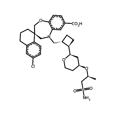 C[C@@H](CS(N)(=O)=O)O[C@H]1CCO[C@@H]([C@@H]2CC[C@H]2CN2C[C@@]3(CCCc4cc(Cl)ccc43)COc3ccc(C(=O)O)cc32)C1